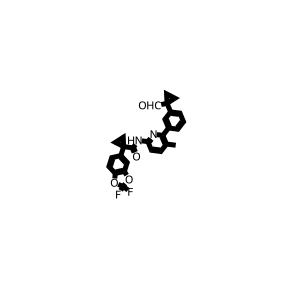 Cc1ccc(NC(=O)C2(c3ccc4c(c3)OC(F)(F)O4)CC2)nc1-c1cccc(C2(C=O)CC2)c1